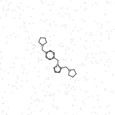 c1cc(CN2CCCC2)n(Cc2ccc(CN3CCCC3)cc2)c1